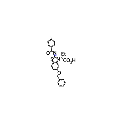 CCC(C(=O)O)n1/c(=N/C(=O)c2ccc(C)cc2)sc2ccc(OCc3ccccc3)cc21